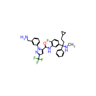 CNC(CCC1CC1)(c1ccccc1)c1ccc(F)c(NC(=O)c2cc(C(F)(F)F)nn2-c2cccc(CN)c2)c1